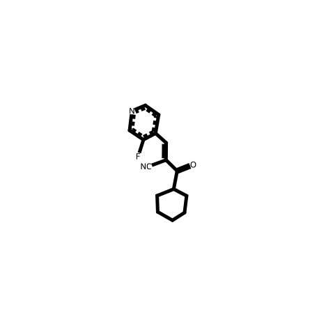 N#C/C(=C\c1ccncc1F)C(=O)C1CCCCC1